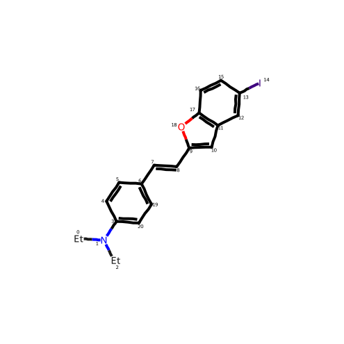 CCN(CC)c1ccc(C=Cc2cc3cc(I)ccc3o2)cc1